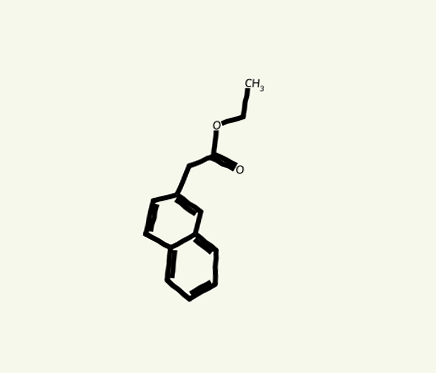 CCOC(=O)Cc1ccc2ccccc2c1